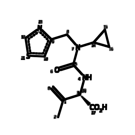 C=C(C)[C@H](NC(=O)N(Cc1cscn1)C1CC1)C(=O)O